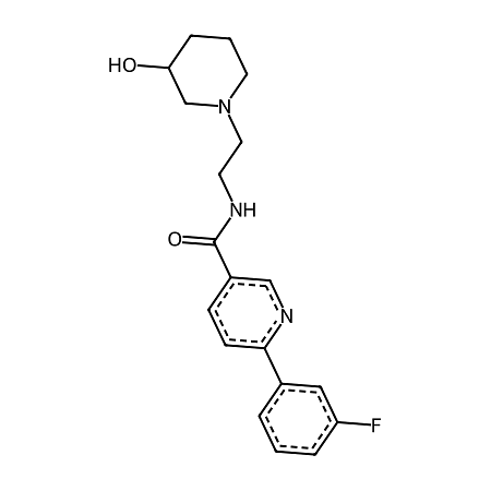 O=C(NCCN1CCCC(O)C1)c1ccc(-c2cccc(F)c2)nc1